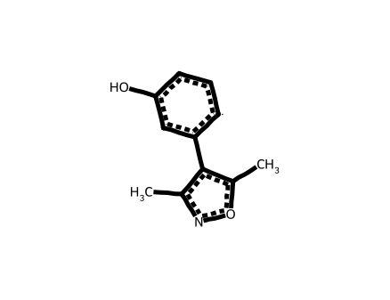 Cc1noc(C)c1-c1[c]ccc(O)c1